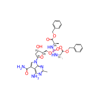 Cc1nc(N)c2c(C(N)=O)cn([C@H]3C[C@H](O)[C@@H](COP(=O)(N[C@@H](C)C(=O)OCc4ccccc4)N[C@H](C)C(=O)OCc4ccccc4)O3)c2n1